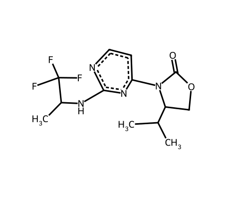 CC(C)C1COC(=O)N1c1ccnc(NC(C)C(F)(F)F)n1